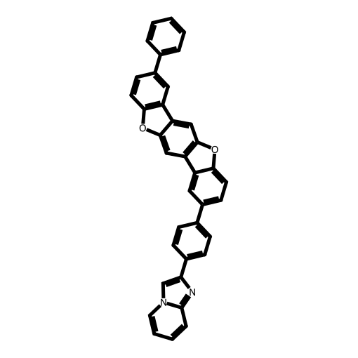 c1ccc(-c2ccc3oc4cc5c(cc4c3c2)oc2ccc(-c3ccc(-c4cn6ccccc6n4)cc3)cc25)cc1